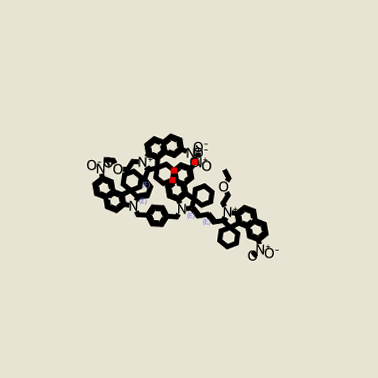 CCOCC[N+]1=C(/C=C/C=C2/N(Cc3ccc(CN4/C(=C/C=C/C5=[N+](CCOCC)c6ccc7ccc([N+](=O)[O-])cc7c6C56CCCCC6)C5(CCCCC5)c5c4ccc4ccc([N+](=O)[O-])cc54)cc3)c3ccc4ccc([N+](=O)[O-])cc4c3C23CCCCC3)C2(CCCCC2)c2c1ccc1ccc([N+](=O)[O-])cc21